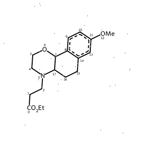 CCOC(=O)CCN1CCOC2c3ccc(OC)cc3CCC21